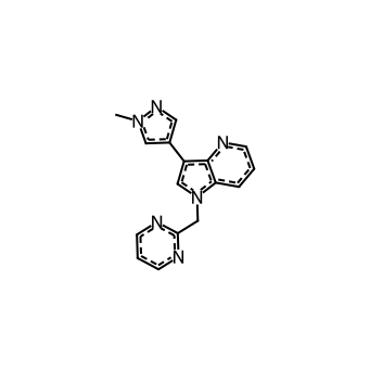 Cn1cc(-c2cn(Cc3ncccn3)c3cccnc23)cn1